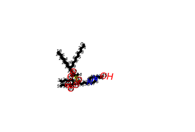 CCCCCCCCCCC(CCCCCCCC)COC(=O)C(C)SC(CCCCC)C(OC(=O)CCCN1CCN(CCO)CC1)C(=O)OCCC